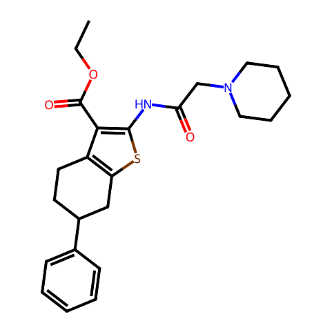 CCOC(=O)c1c(NC(=O)CN2CCCCC2)sc2c1CCC(c1ccccc1)C2